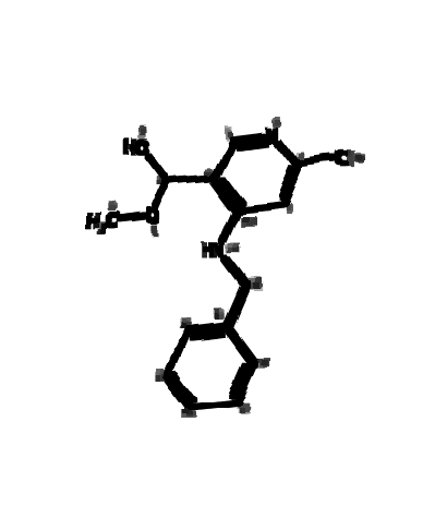 COC(O)c1cnc(Cl)cc1NCc1ccccc1